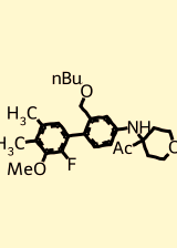 CCCCOCc1cc(NC2(C(C)=O)CCOCC2)ccc1-c1cc(C)c(C)c(OC)c1F